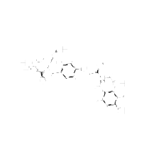 CCO[C@@](CC)(Cc1ccc(OCC(=O)N(CC)Cc2ccc(Cl)cc2)cc1)C(=O)O